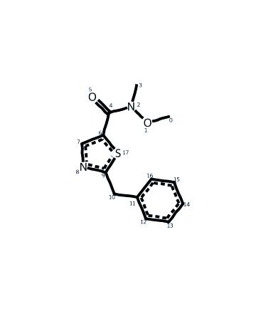 CON(C)C(=O)c1cnc(Cc2ccccc2)s1